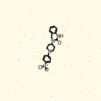 O=C1Nc2ccccc2CN1C1CCN(c2ccc([N+](=O)[O-])cc2)CC1